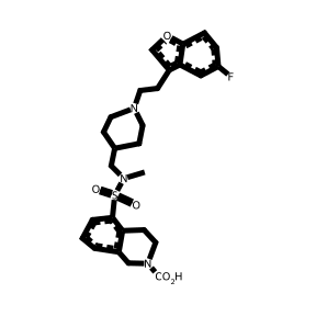 CN(CC1CCN(CCc2coc3ccc(F)cc23)CC1)S(=O)(=O)c1cccc2c1CCN(C(=O)O)C2